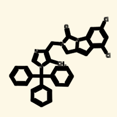 Cc1c(CN2Cc3cc4c(Cl)cc(Cl)cc4n3C2=O)ncn1C(c1ccccc1)(c1ccccc1)c1ccccc1